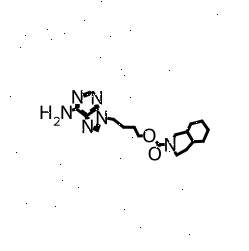 Nc1ncnc2c1ncn2CCCCOC(=O)N1CCC2CCCCC2C1